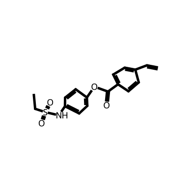 C=Cc1ccc(C(=O)Oc2ccc(NS(=O)(=O)CC)cc2)cc1